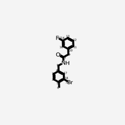 Cc1ccc(CNC(=O)Cc2cccc(F)c2)cc1Br